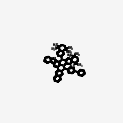 CC1(C)CCC(C)(C)c2cc(N3c4cc5c(cc4B4c6c(cc7c(oc8ccccc87)c63)-c3cc6ccccc6cc3N4c3ccc(-c4ccccc4)cc3)C(C)(C)CCC5(C)C)ccc21